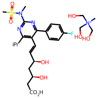 CC(C)c1nc(N(C)S(C)(=O)=O)nc(-c2ccc(F)cc2)c1C=C[C@@H](O)C[C@@H](O)CC(=O)O.C[N+](CO)(CO)CO